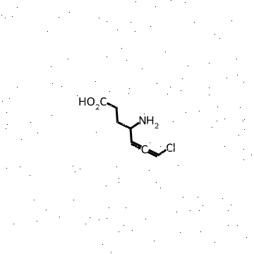 NC(C=C=CCl)CCC(=O)O